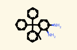 CCc1c(C(c2ccccc2)(c2ccccc2)c2ccccc2)ccc(N)c1N